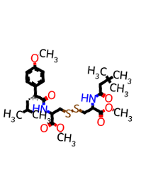 COC(=O)C(CSSCC(NC(=O)[C@H](CC(C)C)c1ccc(OC)cc1)C(=O)OC)NC(=O)CC(C)(C)C